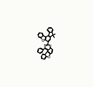 CC1(C)c2ccccc2-c2c1cc(-c1nc(-c3ccccc3)c3c(ccc4oc5ccccc5c43)n1)c1oc3ccccc3c21